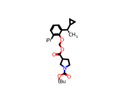 CC(C)c1cccc([C@H](C)C2CC2)c1OCOC(=O)C1CCN(C(=O)OC(C)(C)C)C1